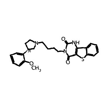 COc1ccccc1[C@H]1CCN(CCCCn2c(=O)[nH]c3c(sc4ccccc43)c2=O)C1